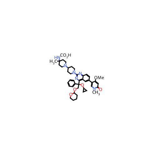 COc1cc(=O)n(C)cc1-c1ccc2nc(N3CCC(N4CCC(C)(NC(=O)O)CC4)CC3)nc(C(COC3CCCCO3)(OC3CC3)c3ccccc3)c2c1